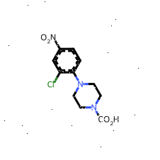 O=C(O)N1CCN(c2ccc([N+](=O)[O-])cc2Cl)CC1